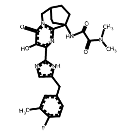 Cc1cc(Cc2cnc(-c3nc4n(c(=O)c3O)CC3CCC4(NC(=O)C(=O)N(C)C)CC3)[nH]2)ccc1F